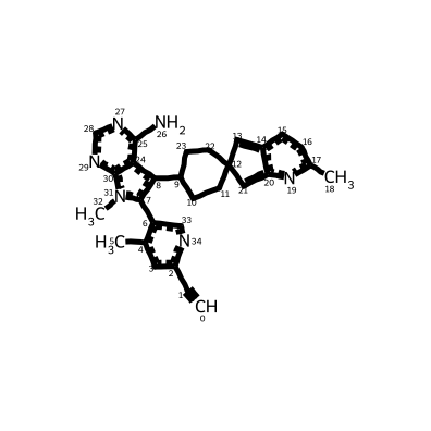 C#Cc1cc(C)c(-c2c(C3CCC4(C=c5ccc(C)nc5=C4)CC3)c3c(N)ncnc3n2C)cn1